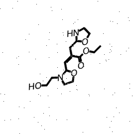 CCOC(=O)C(=CC1OCCN1CCO)CC1NCCO1